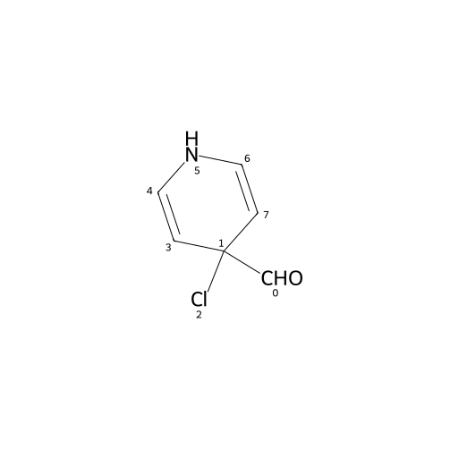 O=CC1(Cl)C=CNC=C1